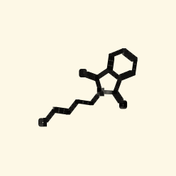 O=C1c2ccccc2C(=O)N1CCC=CCl